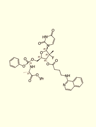 CC(C)OC(=O)[C@H](C)N[P@](=O)(OC[C@H]1O[C@@H](n2ccc(=O)[nH]c2=O)[C@](C)(F)[C@@H]1OC(=O)CCCNc1nccc2ccccc12)Oc1ccccc1